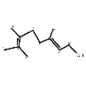 CC(C)=C(C)CC/C(C)=C/CO